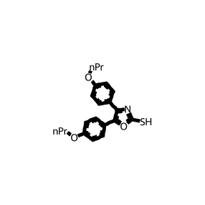 CCCOc1ccc(-c2nc(S)oc2-c2ccc(OCCC)cc2)cc1